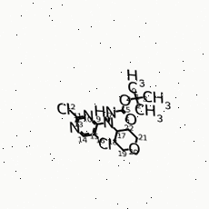 CC(C)(C)OC(=O)NN(c1nc(Cl)ncc1Cl)C1CCOCC1